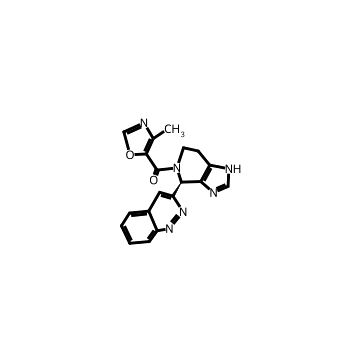 Cc1ncoc1C(=O)N1CCc2[nH]cnc2[C@H]1c1cc2ccccc2nn1